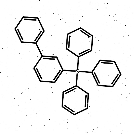 c1ccc(-c2cccc(S(c3ccccc3)(c3ccccc3)c3ccccc3)c2)cc1